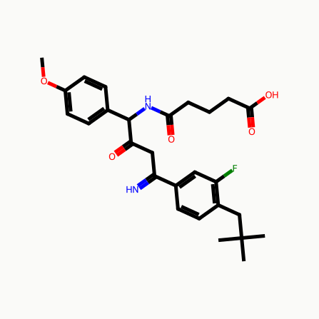 COc1ccc(C(NC(=O)CCCC(=O)O)C(=O)CC(=N)c2ccc(CC(C)(C)C)c(F)c2)cc1